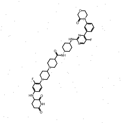 O=C1CCC(Nc2ccc(N3CCC(N4CCC(C(=O)N[C@H]5CC[C@H](Nc6ncc(F)c(-c7cccc(N8CCOCC8=O)c7)n6)CC5)CC4)CC3)c(F)c2)C(=O)N1